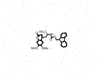 COc1cc2oc(=O)cc(C[C@H](NC(=O)OCC3c4ccccc4-c4ccccc43)C(=O)O)c2cc1OC